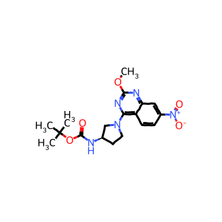 COc1nc(N2CC[C@@H](NC(=O)OC(C)(C)C)C2)c2ccc([N+](=O)[O-])cc2n1